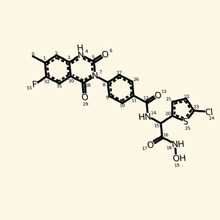 Cc1cc2[nH]c(=O)n(-c3ccc(C(=O)NC(C(=O)NO)c4ccc(Cl)s4)cc3)c(=O)c2cc1F